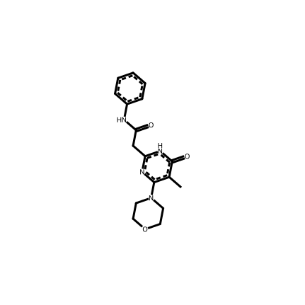 Cc1c(N2CCOCC2)nc(CC(=O)Nc2ccccc2)[nH]c1=O